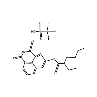 CCCCC(CC)C(=O)Oc1cc2c3c(cccc3c1)C(=O)NC2=O.O=S(=O)(O)C(F)(F)F